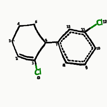 ClC1=C[CH]CCC1c1cccc(Cl)c1